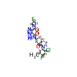 Cc1cc(N2CCCC3(CCC(NC(=O)c4[nH]cnc4C(=O)N4CC(F)C4)CC3)C2=O)c(Cl)cc1F